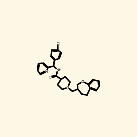 O=C(NC(c1ccc(Cl)cc1)c1ccccn1)C1CCN(CC2CCc3ccccc3OC2)CC1